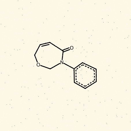 O=C1C=CCOCN1c1ccccc1